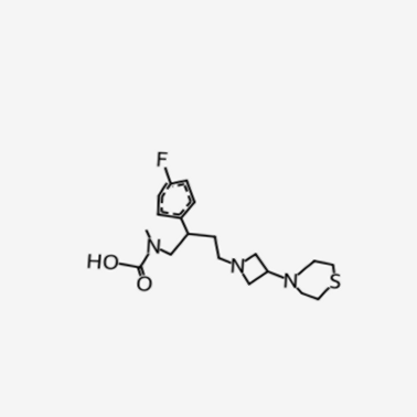 CN(CC(CCN1CC(N2CCSCC2)C1)c1ccc(F)cc1)C(=O)O